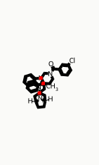 Cc1nc2ccccc2n1[C@H]1C[C@H]2CC[C@@H](C1)N2CCC1(c2ccccc2)CCN(C(=O)c2cccc(Cl)c2)CC1